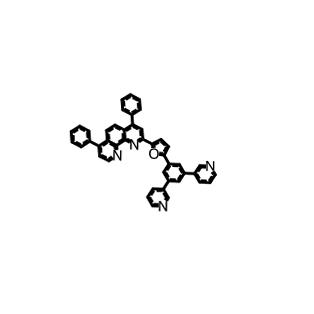 c1ccc(-c2ccnc3c2ccc2c(-c4ccccc4)cc(-c4ccc(-c5cc(-c6cccnc6)cc(-c6cccnc6)c5)o4)nc23)cc1